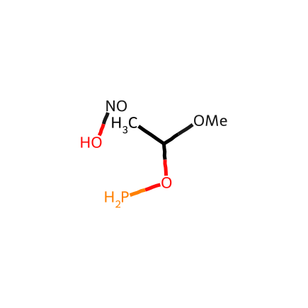 COC(C)OP.O=NO